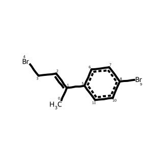 C/C(=C\CBr)c1ccc(Br)cc1